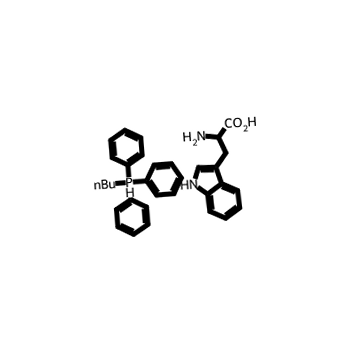 CCCC[PH](c1ccccc1)(c1ccccc1)c1ccccc1.NC(Cc1c[nH]c2ccccc12)C(=O)O